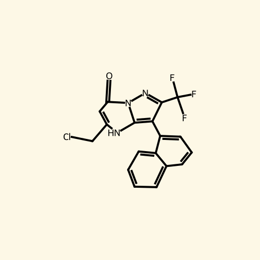 O=c1cc(CCl)[nH]c2c(-c3cccc4ccccc34)c(C(F)(F)F)nn12